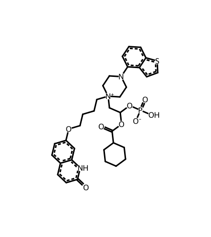 O=C(OC(C[N+]1(CCCCOc2ccc3ccc(=O)[nH]c3c2)CCN(c2cccc3sccc23)CC1)OP(=O)([O-])O)C1CCCCC1